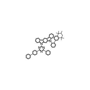 CC1CC(C)(C)c2cc(-c3ccccc3-n3c4ccccc4c4cc5c6ccccc6n(-c6nc(-c7ccccc7)nc(-c7ccc(-c8ccccc8)cc7)n6)c5cc43)ccc2C1(C)C